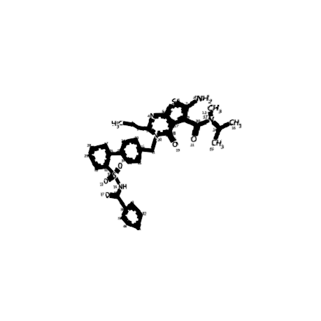 CCCc1nc2sc(N)c(C(=O)N(C)C(C)C)c2c(=O)n1Cc1ccc(-c2ccccc2S(=O)(=O)NC(=O)c2ccccc2)cc1